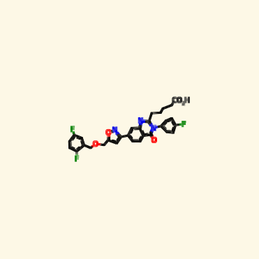 O=C(O)CCCCc1nc2cc(-c3cc(COCc4cc(F)ccc4F)on3)ccc2c(=O)n1-c1ccc(F)cc1